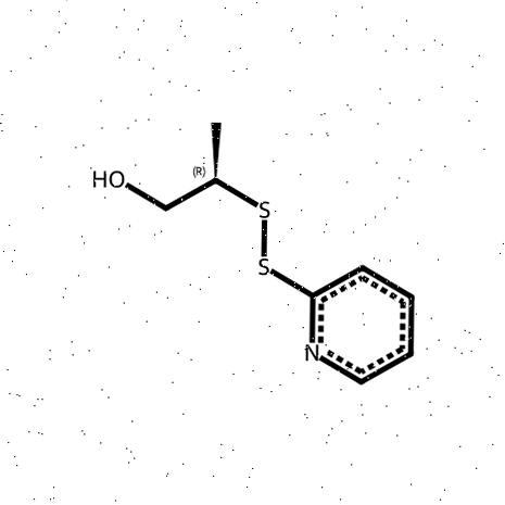 C[C@H](CO)SSc1ccccn1